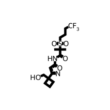 CC(C)(C(=O)Nc1cc(C2(CO)CCC2)no1)S(=O)(=O)CCCC(F)(F)F